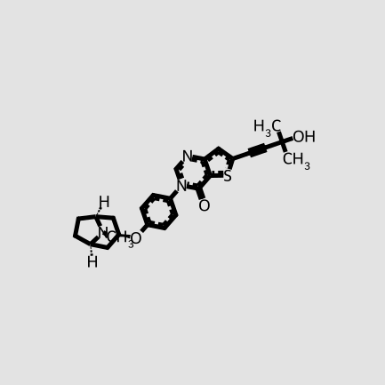 CN1[C@@H]2CC[C@H]1C[C@@H](Oc1ccc(-n3cnc4cc(C#CC(C)(C)O)sc4c3=O)cc1)C2